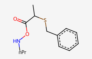 CCCNOC(=O)C(C)SCc1ccccc1